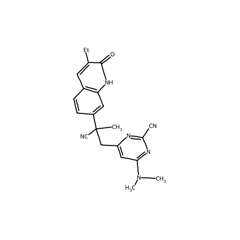 CCc1cc2ccc(C(C)(C#N)Cc3cc(N(C)C)nc(C#N)n3)cc2[nH]c1=O